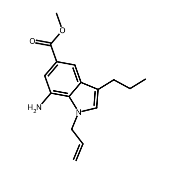 C=CCn1cc(CCC)c2cc(C(=O)OC)cc(N)c21